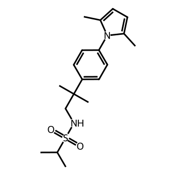 Cc1ccc(C)n1-c1ccc(C(C)(C)CNS(=O)(=O)C(C)C)cc1